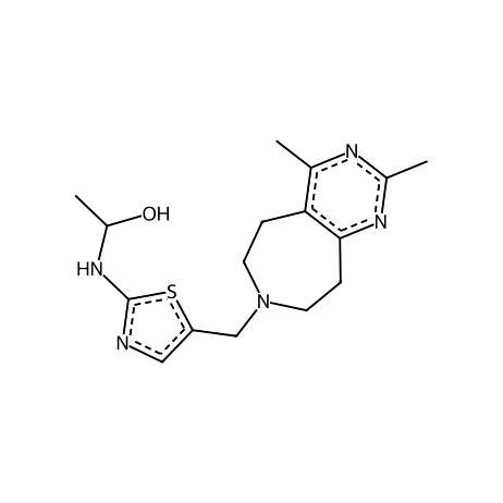 Cc1nc(C)c2c(n1)CCN(Cc1cnc(NC(C)O)s1)CC2